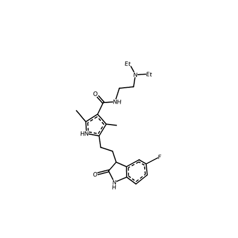 CCN(CC)CCNC(=O)c1c(C)[nH]c(CCC2C(=O)Nc3ccc(F)cc32)c1C